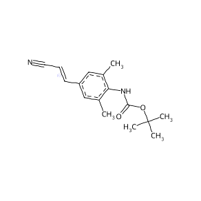 Cc1cc(/C=C/C#N)cc(C)c1NC(=O)OC(C)(C)C